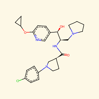 O=C(N[C@H](CN1CCCC1)[C@H](O)c1ccc(OC2CC2)nc1)[C@H]1CCN(c2ccc(Cl)cc2)C1